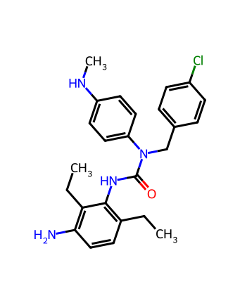 CCc1ccc(N)c(CC)c1NC(=O)N(Cc1ccc(Cl)cc1)c1ccc(NC)cc1